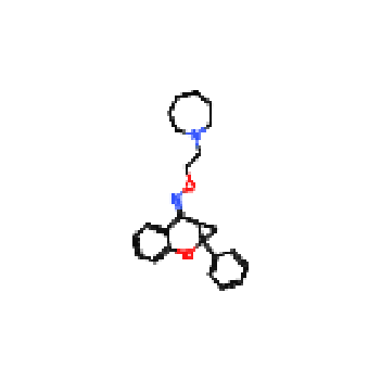 c1ccc(C23CC2C(=NOCCN2CCCCCC2)c2ccccc2O3)cc1